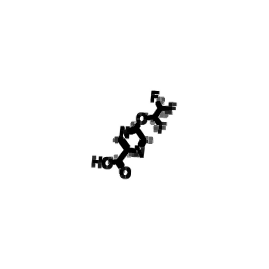 O=C(O)c1cnc(OC(F)C(F)F)cn1